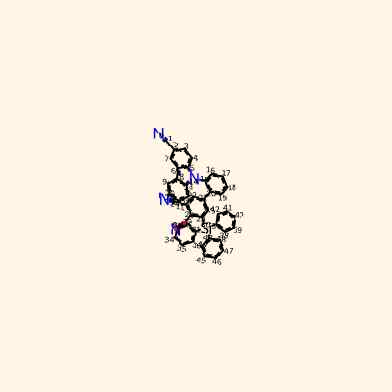 N#Cc1ccc2c(c1)c1ccccc1n2-c1ccccc1-c1cc(C#N)c(C#N)c([Si](c2ccccc2)(c2ccccc2)c2ccccc2)c1